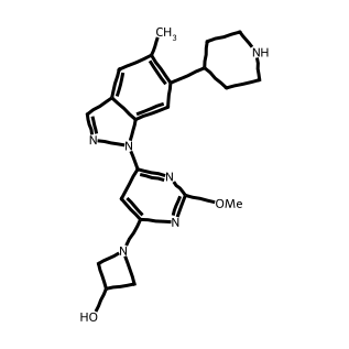 COc1nc(N2CC(O)C2)cc(-n2ncc3cc(C)c(C4CCNCC4)cc32)n1